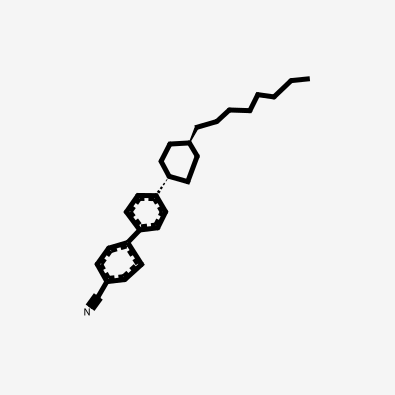 CCCCCCCC[C@H]1CC[C@H](c2ccc(-c3ccc(C#N)cc3)cc2)CC1